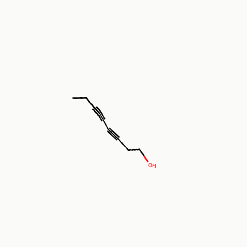 CCC#CC#CCCO